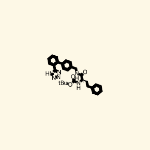 CC(C)(C)OC(=O)N[C@H](CCc1ccccc1)C(=O)NCc1ccc(-c2ccccc2-c2nnn[nH]2)cc1